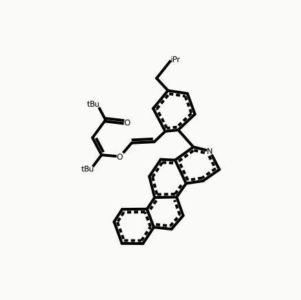 CC(C)Cc1ccc(-c2nccc3c2ccc2c4ccccc4ccc32)c(/C=C/O/C(=C\C(=O)C(C)(C)C)C(C)(C)C)c1